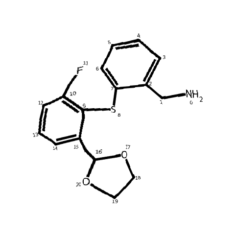 NCc1ccccc1Sc1c(F)cccc1C1OCCO1